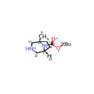 CC(C)(C)OC(=O)N1[C@@H]2CC[C@@]1(C)CNC2